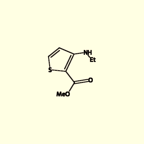 CCNc1ccsc1C(=O)OC